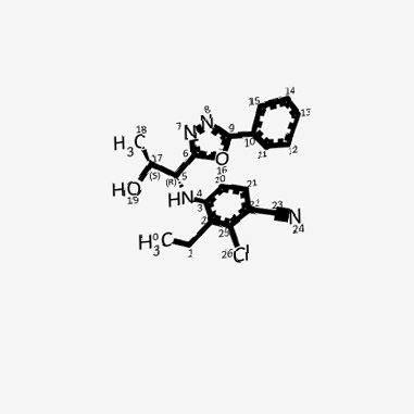 CCc1c(N[C@@H](c2nnc(-c3ccccc3)o2)[C@H](C)O)ccc(C#N)c1Cl